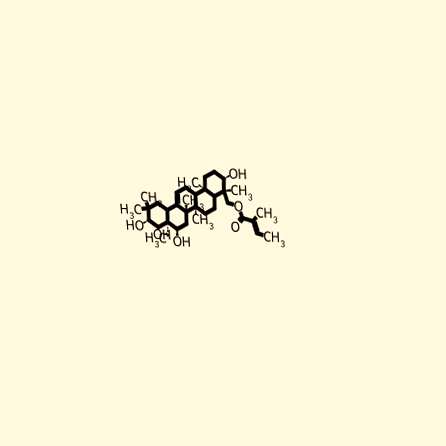 C/C=C(\C)C(=O)OC[C@]1(C)C2CC[C@]3(C)C(CC=C4C5CC(C)(C)[C@@H](O)[C@H](O)[C@]5(CC)[C@H](O)C[C@]43C)[C@@]2(C)CC[C@@H]1O